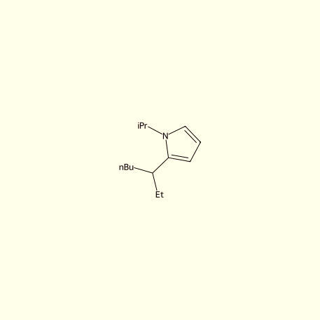 CCCCC(CC)c1cccn1C(C)C